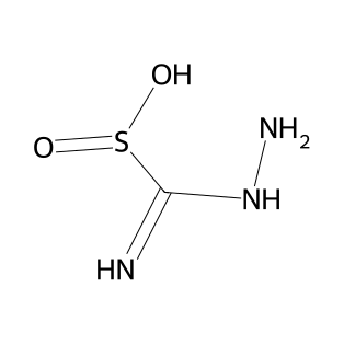 N=C(NN)S(=O)O